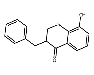 Cc1cccc2c1SCC(Cc1ccccc1)C2=O